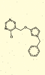 Clc1ncncc1COc1ccn(Cc2ccccc2)c1